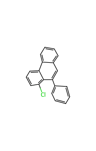 Clc1cccc2c1c(-c1ccccc1)cc1ccccc12